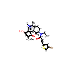 COc1cc(O)c2c3c1O[C@H]1[C@H](N(CC(C)C)C(=O)/C=C/c4cc(Br)cs4)CC[C@H]4[C@@H](C2)N(C)CC[C@@]341